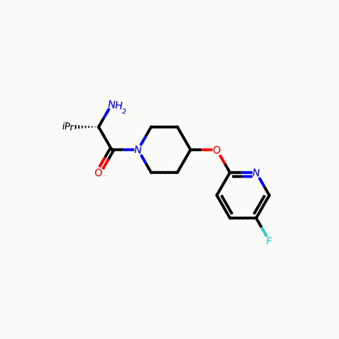 CC(C)[C@H](N)C(=O)N1CCC(Oc2ccc(F)cn2)CC1